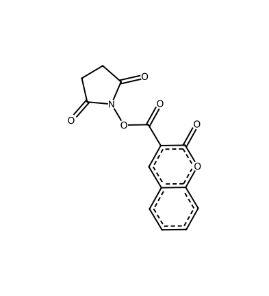 O=C(ON1C(=O)CCC1=O)c1cc2ccccc2oc1=O